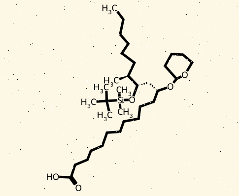 CCCCCC[C@H](C)[C@H](C[C@@H](CCCCCCCCCCC(=O)O)OC1CCCCO1)O[Si](C)(C)C(C)(C)C